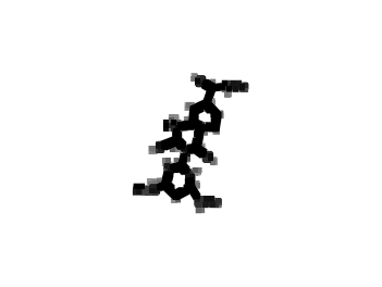 CNC(=O)c1ccc2c(=O)n(-c3nc(OC)cc(OC)n3)c(=S)[nH]c2c1